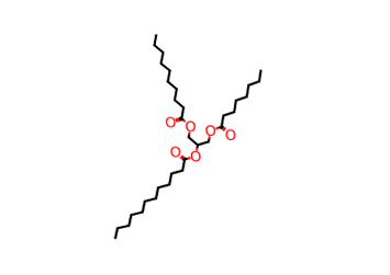 CCCCCCCCCCCC(=O)OC(COC(=O)CCCCCCC)COC(=O)CCCCCCCCC